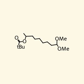 COC(CCCCCCC(C)OC(=O)C(C)(C)C)OC